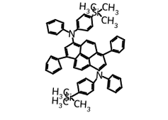 C[Si](C)(C)c1ccc(N(c2ccccc2)c2cc(-c3ccccc3)c3ccc4c(N(c5ccccc5)c5ccc([Si](C)(C)C)cc5)cc(-c5ccccc5)c5ccc2c3c54)cc1